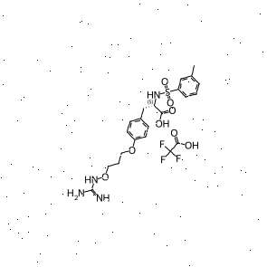 Cc1cccc(S(=O)(=O)N[C@@H](Cc2ccc(OCCCONC(=N)N)cc2)C(=O)O)c1.O=C(O)C(F)(F)F